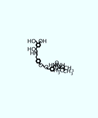 CC(C)(C)OC(=O)NS(=O)(=O)Nc1cccc(COCCOc2ccc(CCNC[C@H](O)c3ccc(O)c(CO)c3)cc2)c1